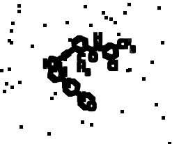 Cc1c(C#Cc2cnc3ccc(N4CCC(N5CCOCC5)CC4)nn23)cccc1C(=O)Nc1cc(Cl)cc(C(F)(F)F)c1